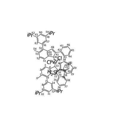 Cc1ccc2c(c1-c1cc(C(C)C)cc(C(C)C)c1)C=C(c1ccccc1)[CH]2[Zr]([Cl])([Cl])([c]1cccc2c1[SiH2]c1ccccc1-2)[CH]1C(c2ccccc2)=Cc2c1ccc(C)c2-c1cc(C(C)C)cc(C(C)C)c1